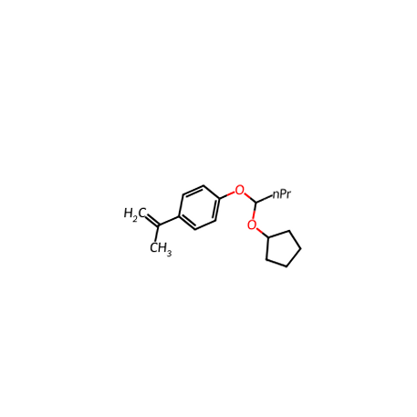 C=C(C)c1ccc(OC(CCC)OC2CCCC2)cc1